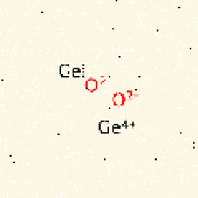 [Ge+4].[Ge].[O-2].[O-2]